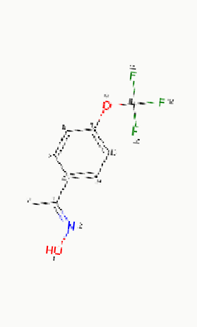 [CH2]C(=NO)c1ccc(OC(F)(F)F)cc1